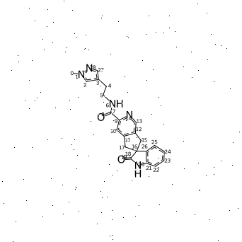 Cn1cc(CCNC(=O)c2cc3c(cn2)CC2(C3)C(=O)Nc3ccccc32)cn1